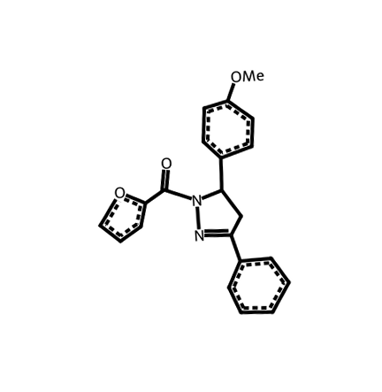 COc1ccc(C2CC(c3ccccc3)=NN2C(=O)c2ccco2)cc1